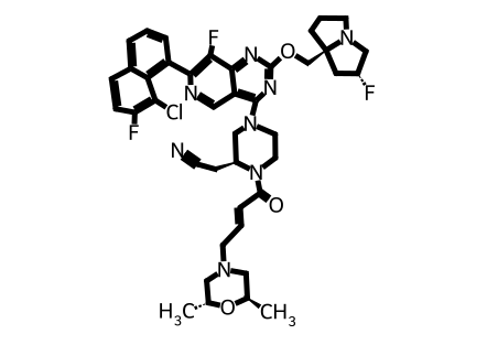 C[C@@H]1CN(C/C=C/C(=O)N2CCN(c3nc(OC[C@@]45CCCN4C[C@H](F)C5)nc4c(F)c(-c5cccc6ccc(F)c(Cl)c56)ncc34)C[C@@H]2CC#N)C[C@@H](C)O1